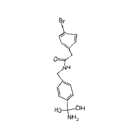 NC(O)(O)c1ccc(CNC(=O)Cc2ccc(Br)cc2)cc1